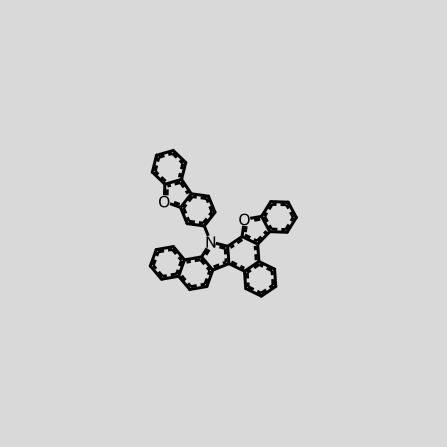 c1ccc2c(c1)ccc1c3c4ccccc4c4c5ccccc5oc4c3n(-c3ccc4c(c3)oc3ccccc34)c21